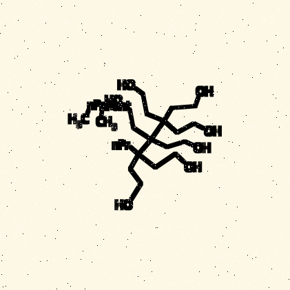 CCCC(CCO)(CCO)C(CCO)(CCO)C(CCO)(CCO)CCO.CCCCCC.CCCCCC